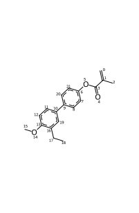 C=C(C)C(=O)Oc1ccc(-c2ccc(OC)c(CC)c2)cc1